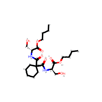 CCCCOC(=O)[C@@H](CO)NC(=O)C1(C(=O)N[C@H](CO)C(=O)OCCCC)CCCCC1